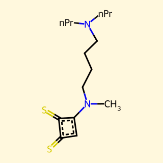 CCCN(CCC)CCCCN(C)c1cc(=S)c1=S